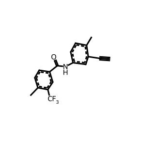 C#Cc1cc(NC(=O)c2ccc(C)c(C(F)(F)F)c2)ccc1C